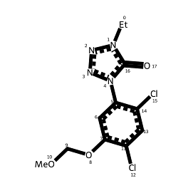 CCn1nnn(-c2cc(OCOC)c(Cl)cc2Cl)c1=O